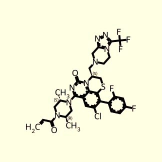 C=CC(=O)N1C[C@H](C)N(c2nc(=O)n3c4c(c(-c5ccc(F)cc5F)c(Cl)cc24)SC[C@@H]3CN2CCn3c(nnc3C(F)(F)F)C2)C[C@H]1C